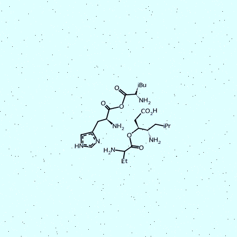 CCC(N)C(=O)O[C@@H](CC(=O)O)[C@@H](N)CC(C)C.CC[C@H](C)[C@H](N)C(=O)OC(=O)[C@@H](N)Cc1c[nH]cn1